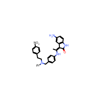 C/C(Nc1ccc(CN(CCc2ccc([N+](=O)[O-])cc2)C(C)C)cc1)=C1/C(=O)Nc2ccc(N)cc21